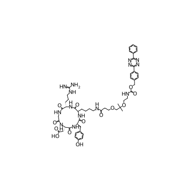 CC(C)(COCCC(=O)NCCCCC1NC(=O)[C@@H](Cc2ccc(O)cc2)NC(=O)[C@H](CC(=O)O)NC(=O)CNC(=O)[C@H](CCCNC(=N)N)NC1=O)OCCNC(=O)OCc1ccc(-c2nnc(-c3ccccc3)nn2)cc1